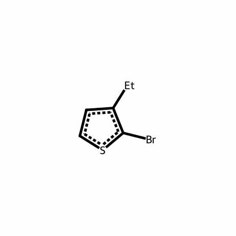 CCc1ccsc1Br